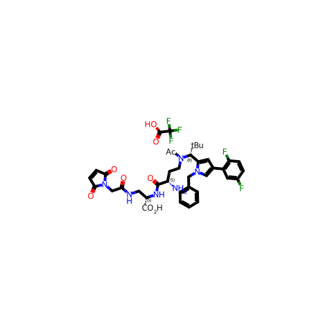 CC(=O)N(CC[C@H](N)C(=O)N[C@@H](CNC(=O)CN1C(=O)C=CC1=O)C(=O)O)[C@@H](c1cc(-c2cc(F)ccc2F)cn1Cc1ccccc1)C(C)(C)C.O=C(O)C(F)(F)F